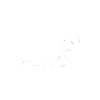 CCCc1nn(C)c2c(=O)[nH]c(-c3cc(S(=O)(=O)N4CC(CNC(=O)OC(C)(C)C)C4)ccc3OCC)nc12